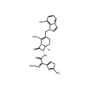 CO/N=C(\C(=O)N[C@@H]1C(=O)N2C(C(=O)[O-])=C(Cn3cc[n+]4cccc(O)c34)CS[C@@H]12)c1csc(N)n1